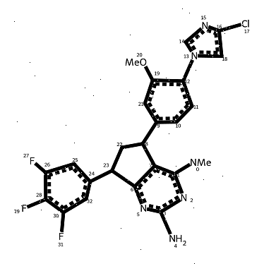 CNc1nc(N)nc2c1C(c1ccc(-n3cnc(Cl)c3)c(OC)c1)CC2c1cc(F)c(F)c(F)c1